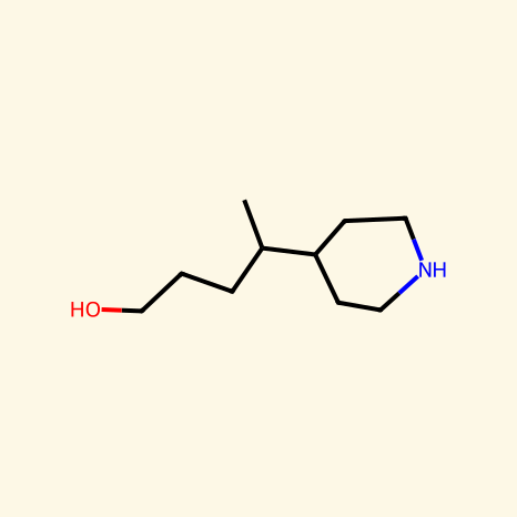 CC(CCCO)C1CCNCC1